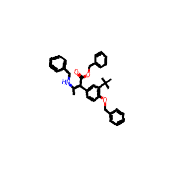 CC(NCc1ccccc1)C(C(=O)OCc1ccccc1)c1ccc(OCc2ccccc2)c(C(C)(C)C)c1